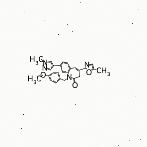 COc1ccc(CN2C(=O)CC(c3ncc(C)o3)=Cc3ccc(-c4cnn(C)c4)cc32)cc1